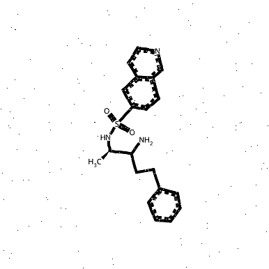 C[C@@H](NS(=O)(=O)c1ccc2cnccc2c1)C(N)CCc1ccccc1